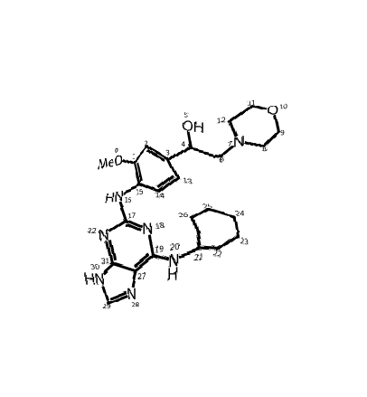 COc1cc(C(O)CN2CCOCC2)ccc1Nc1nc(NC2CCCCC2)c2nc[nH]c2n1